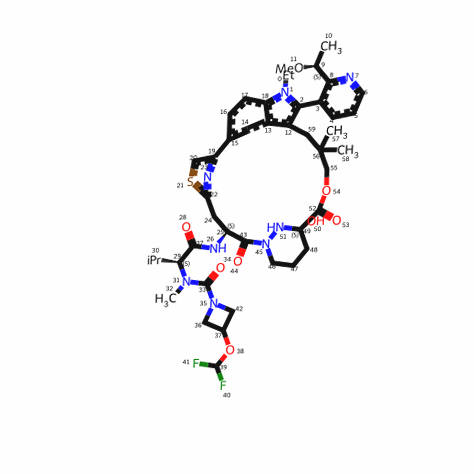 CCn1c(-c2cccnc2[C@H](C)OC)c2c3cc(ccc31)-c1csc(n1)C[C@H](NC(=O)[C@H](C(C)C)N(C)C(=O)N1CC(OC(F)F)C1)C(=O)N1CCC[C@@](O)(N1)C(=O)OCC(C)(C)C2